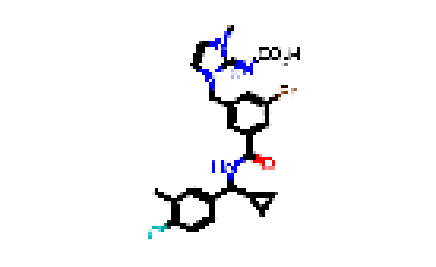 Cc1cc(C(NC(=O)c2cc(Br)cc(Cn3ccn(C)/c3=N\C(=O)O)c2)C2CC2)ccc1F